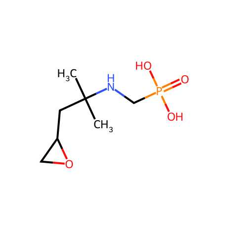 CC(C)(CC1CO1)NCP(=O)(O)O